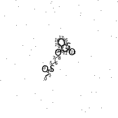 C=CC(=O)SCCCCOc1cc(=O)sc2ccccc12